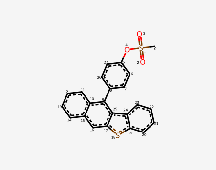 CS(=O)(=O)Oc1ccc(-c2c3ccccc3cc3sc4ccccc4c23)cc1